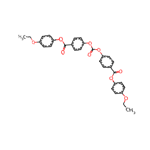 CCOc1ccc(OC(=O)c2ccc(OC(=O)Oc3ccc(C(=O)Oc4ccc(OCC)cc4)cc3)cc2)cc1